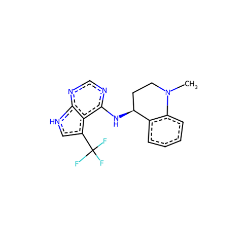 CN1CC[C@H](Nc2ncnc3[nH]cc(C(F)(F)F)c23)c2ccccc21